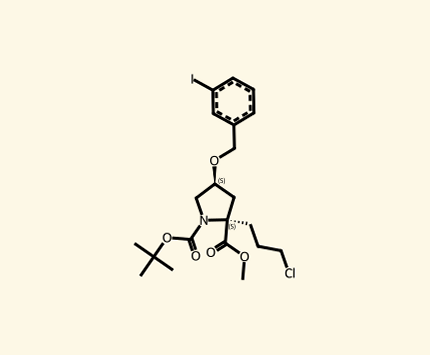 COC(=O)[C@]1(CCCCl)C[C@H](OCc2cccc(I)c2)CN1C(=O)OC(C)(C)C